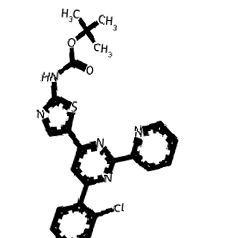 CC(C)(C)OC(=O)Nc1ncc(-c2cc(-c3ccccc3Cl)nc(-c3ccccn3)n2)s1